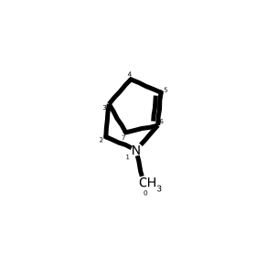 CN1CC2CC=C1C2